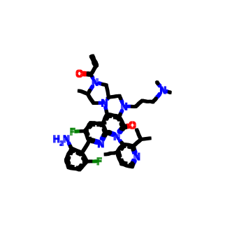 C=CC(=O)N1CC2CN(CCCN(C)C)c3c(c4cc(F)c(-c5c(N)cccc5F)nc4n(-c4c(C)ccnc4C(C)C)c3=O)N2CC1C